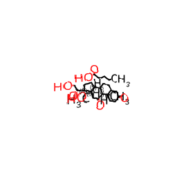 CCCCC(=O)O.C[C@]12CCC(=O)C=C1CC[C@@H]1[C@@H]2C(=O)C[C@@]2(C)[C@H]1CC[C@]2(O)C(=O)CO